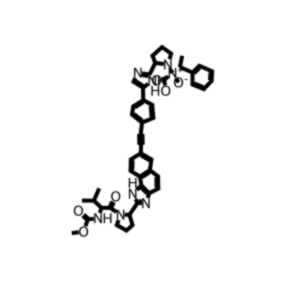 COC(=O)NC(C(=O)N1CCCC1c1nc2ccc3cc(C#Cc4ccc(-c5cnc(C6CCCN6[N+]([O-])(C(=O)O)C(C)c6ccccc6)[nH]5)cc4)ccc3c2[nH]1)C(C)C